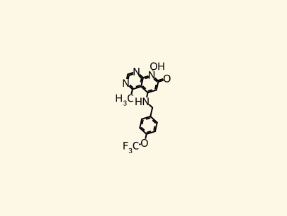 Cc1ncnc2c1c(NCc1ccc(OC(F)(F)F)cc1)cc(=O)n2O